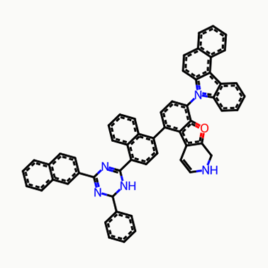 C1=Cc2c(oc3c(-n4c5ccccc5c5c6ccccc6ccc54)ccc(-c4ccc(C5=NC(c6ccc7ccccc7c6)=NC(c6ccccc6)N5)c5ccccc45)c23)CN1